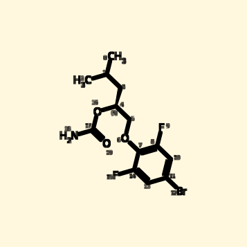 CC(C)C[C@@H](COc1c(F)cc(Br)cc1F)OC(N)=O